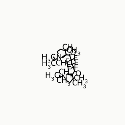 CC1(C)CCN(C(C)(C)C)C=C1C(=O)C(F)(F)C(F)(F)C(F)(F)C(=O)C1=CN(C(C)(C)C)CCC1(C)C